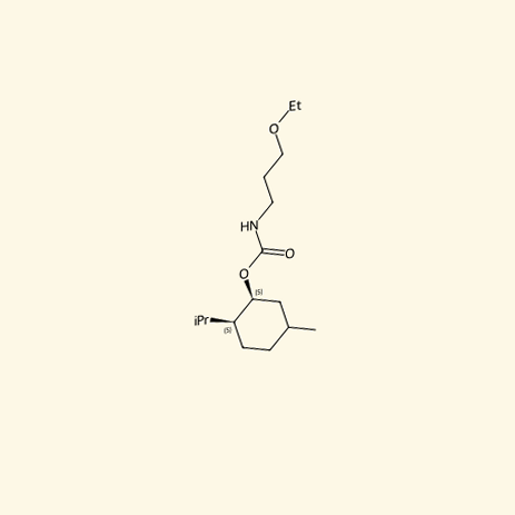 CCOCCCNC(=O)O[C@H]1CC(C)CC[C@H]1C(C)C